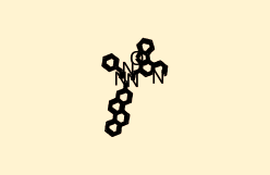 c1ccc(-c2nc(-c3ccc4c(ccc5c6ccccc6ccc45)c3)nc(-c3cc4ncccc4c4c3oc3ccccc34)n2)cc1